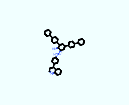 N=C1C(c2ccc(-c3ccccc3)cc2)=CC(c2ccc(-c3ccccc3)cc2)=C/C1=N/Nc1ccc(-c2ccnc3ccccc23)cc1